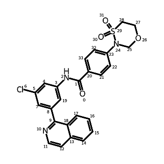 O=C(Nc1cc(Cl)cc(-c2nccc3ccccc23)c1)c1ccc(N2COCCS2(=O)=O)cc1